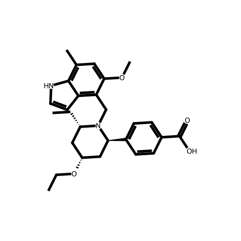 CCO[C@@H]1C[C@H](CC)N(Cc2c(OC)cc(C)c3[nH]ccc23)[C@@H](c2ccc(C(=O)O)cc2)C1